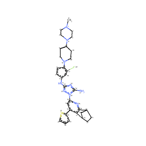 CN1CCN(C2CCN(c3ccc(Nc4nc(N)n(-c5cc(-c6cccs6)c6c(n5)C5CCC6C5)n4)cc3F)CC2)CC1